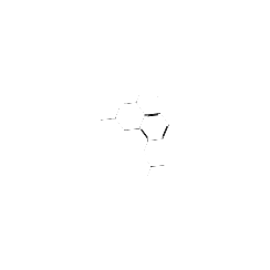 CC1Cc2c(OC(F)F)cccc2C(C(=O)O)O1